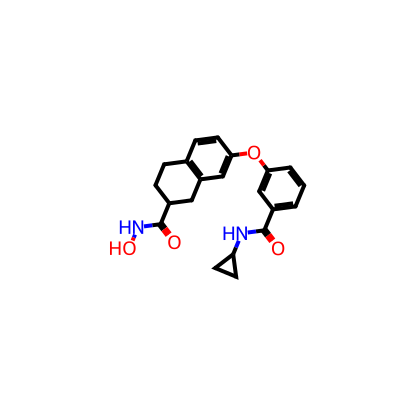 O=C(NC1CC1)c1cccc(Oc2ccc3c(c2)CC(C(=O)NO)CC3)c1